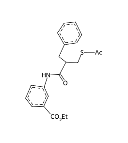 CCOC(=O)c1cccc(NC(=O)C(CSC(C)=O)Cc2ccccc2)c1